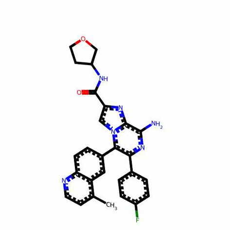 Cc1ccnc2ccc(-c3c(-c4ccc(F)cc4)nc(N)c4nc(C(=O)NC5CCOC5)cn34)cc12